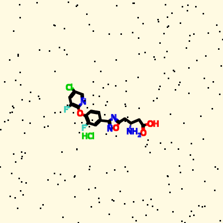 Cl.N[C@@H](CC(=O)O)Cc1nc(-c2ccc(Oc3ncc(Cl)cc3F)c(F)c2)no1